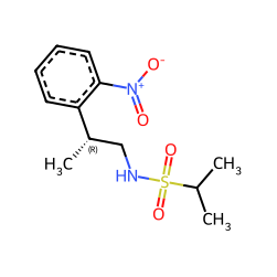 CC(C)S(=O)(=O)NC[C@H](C)c1ccccc1[N+](=O)[O-]